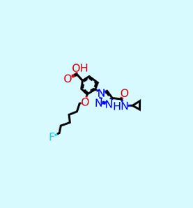 O=C(O)c1ccc(-n2cc(C(=O)NC3CC3)nn2)c(OCCCCCCF)c1